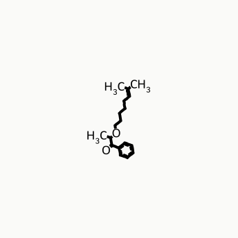 CC(C)=CCCCCCOC(C)C(=O)c1ccccc1